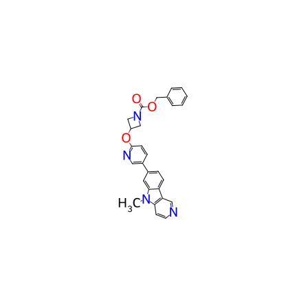 Cn1c2ccncc2c2ccc(-c3ccc(OC4CN(C(=O)OCc5ccccc5)C4)nc3)cc21